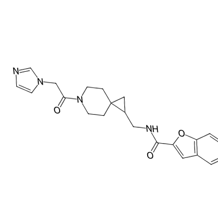 O=C(NCC1CC12CCN(C(=O)Cn1ccnc1)CC2)c1cc2ccncc2o1